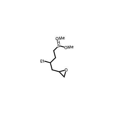 CCC(CC[SiH](OC)OC)CC1CO1